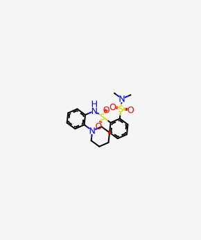 CN(C)S(=O)(=O)c1ccccc1S(=O)(=O)Nc1ccccc1N1CCCCC1